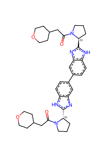 O=C(CC1CCOCC1)N1CCC[C@H]1c1nc2cc(-c3ccc4[nH]c([C@@H]5CCCN5C(=O)CC5CCOCC5)nc4c3)ccc2[nH]1